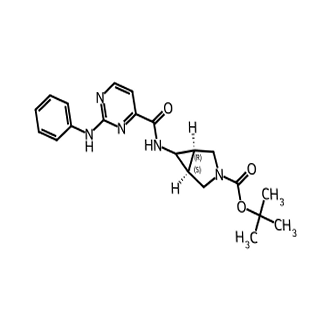 CC(C)(C)OC(=O)N1C[C@@H]2C(NC(=O)c3ccnc(Nc4ccccc4)n3)[C@@H]2C1